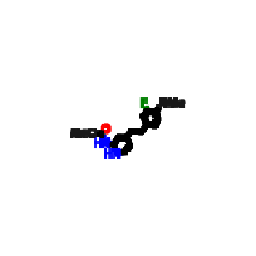 CNc1ccc(CCC2=CC(NC(=O)OC)NC=C2)cc1F